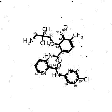 CC1=CC=C(C(=O)Nc2cccnc2C(=O)Nc2ccc(Cl)cn2)C(OCC(C)(C)CN)C1=S=O